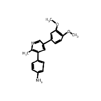 COc1ccc(-c2cnc(C)c(-c3ccc(N)cc3)c2)cc1OC